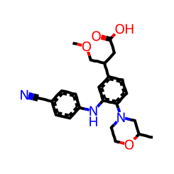 COCC(CC(=O)O)c1ccc(N2CCOC(C)C2)c(Nc2ccc(C#N)cc2)c1